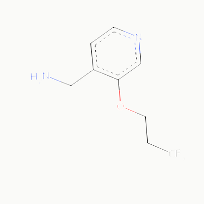 NCc1ccncc1OCCC(F)(F)F